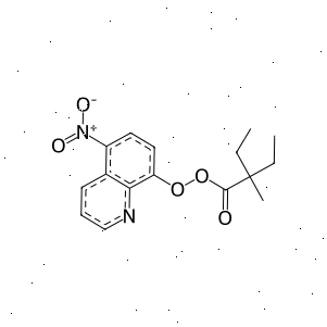 CCC(C)(CC)C(=O)OOc1ccc([N+](=O)[O-])c2cccnc12